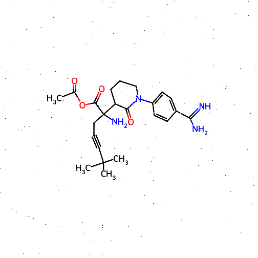 CC(=O)OC(=O)C(N)(CC#CC(C)(C)C)C1CCCN(c2ccc(C(=N)N)cc2)C1=O